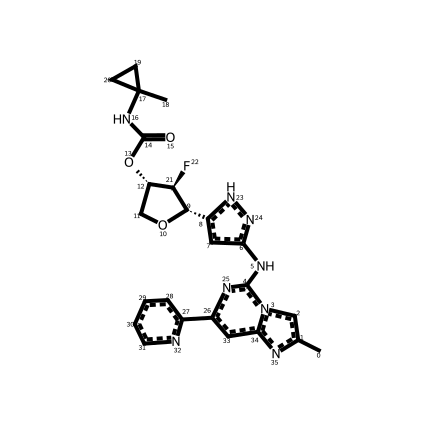 Cc1cn2c(Nc3cc([C@@H]4OC[C@H](OC(=O)NC5(C)CC5)[C@H]4F)[nH]n3)nc(-c3ccccn3)cc2n1